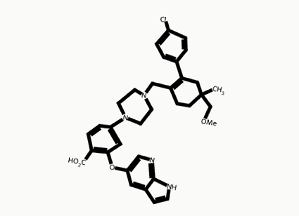 COCC1(C)CCC(CN2CCN(c3ccc(C(=O)O)c(Oc4cnc5[nH]ccc5c4)c3)CC2)=C(c2ccc(Cl)cc2)C1